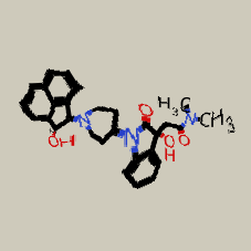 CN(C)C(=O)CC1(O)C(=O)N(C2CCN(C3c4cccc5cccc(c45)[C@@H]3O)CC2)c2ccccc21